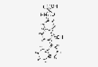 O=S(=O)(O)Nc1ccc2c(O)c(-c3cccc4c3CCCC4)ccc2c1